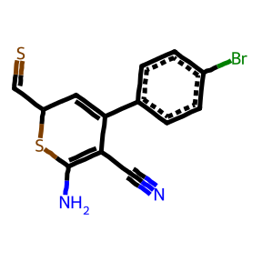 N#CC1=C(N)SC(C=S)C=C1c1ccc(Br)cc1